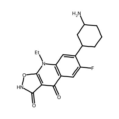 CCn1c2cc(C3CCCC(N)C3)c(F)cc2c(=O)c2c(=O)[nH]oc21